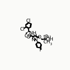 CC(C)(C)[C@@](C)(O)COc1cc(C(=O)N[C@@H](CC(=O)O)c2ccc(Cl)cc2Cl)nn1-c1ccc(F)cc1